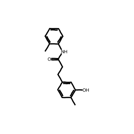 Cc1ccc(CCC(=O)Nc2ccccc2C)cc1O